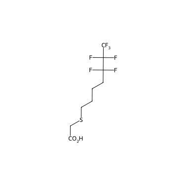 O=C(O)CSCCCCC(F)(F)C(F)(F)C(F)(F)F